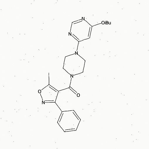 Cc1onc(-c2ccccc2)c1C(=O)N1CCN(c2cc(OCC(C)C)ncn2)CC1